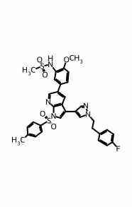 COc1ccc(-c2cnc3c(c2)c(-c2cnn(CCc4ccc(F)cc4)c2)cn3S(=O)(=O)c2ccc(C)cc2)cc1NS(C)(=O)=O